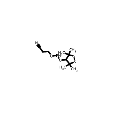 CC1(C)SSC(C)(C)C1OPOCCC#N